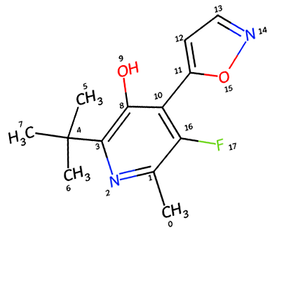 Cc1nc(C(C)(C)C)c(O)c(-c2ccno2)c1F